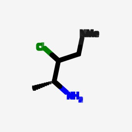 CNCC(Cl)[C@@H](C)N